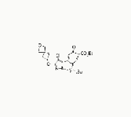 CCOC(=O)c1cn2c(cc1=O)-c1c(Cl)c(OC3CC4(COC4)C3)nn1C[C@H]2C(C)(C)C